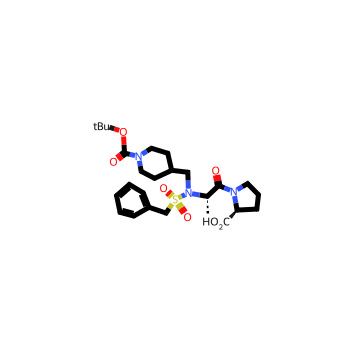 C[C@@H](C(=O)N1CCC[C@H]1C(=O)O)N(CC1CCN(C(=O)OC(C)(C)C)CC1)S(=O)(=O)Cc1ccccc1